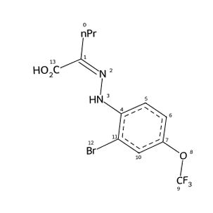 CCCC(=NNc1ccc(OC(F)(F)F)cc1Br)C(=O)O